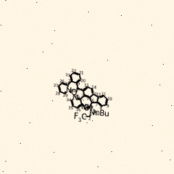 CCCCN(CC(F)(F)F)C(=O)C1c2ccccc2-c2ccc(C(=O)c3ccccc3-c3ccccn3)c(-c3ncccc3N)c21